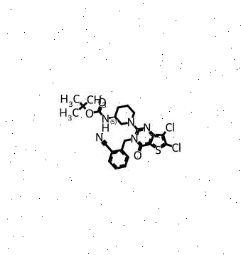 CC(C)(C)OC(=O)N[C@H]1CCCN(c2nc3c(Cl)c(Cl)sc3c(=O)n2Cc2ccccc2C#N)C1